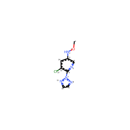 CONc1cnc(-n2nccn2)c(Cl)c1